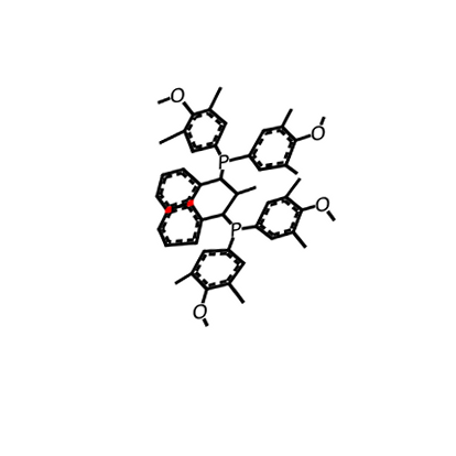 COc1c(C)cc(P(c2cc(C)c(OC)c(C)c2)C(c2ccccc2)C(C)C(c2ccccc2)P(c2cc(C)c(OC)c(C)c2)c2cc(C)c(OC)c(C)c2)cc1C